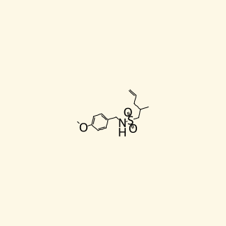 C=CCC(C)CS(=O)(=O)NCc1ccc(OC)cc1